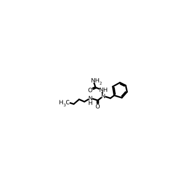 CCCCNC(=O)N(Cc1ccccc1)NC(N)=O